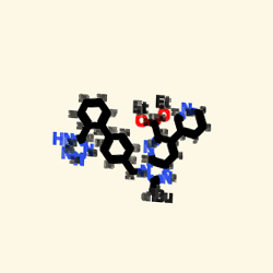 CCCCc1nc2cc(-c3cccnc3)c(C(OCC)OCC)nc2n1Cc1ccc(-c2ccccc2-c2nnn[nH]2)cc1